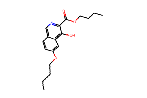 CCCCOC(=O)c1ncc2ccc(OCCCC)cc2c1O